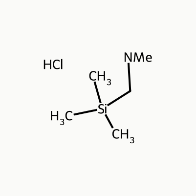 CNC[Si](C)(C)C.Cl